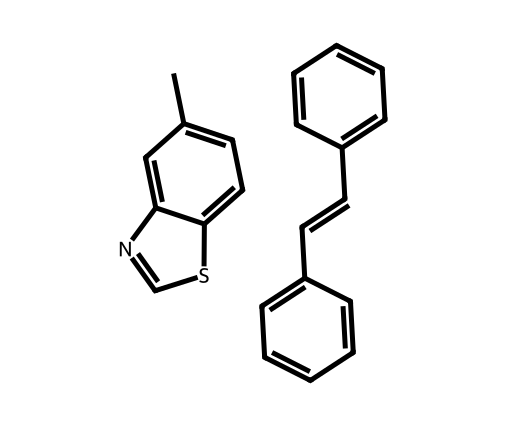 C(=Cc1ccccc1)c1ccccc1.Cc1ccc2scnc2c1